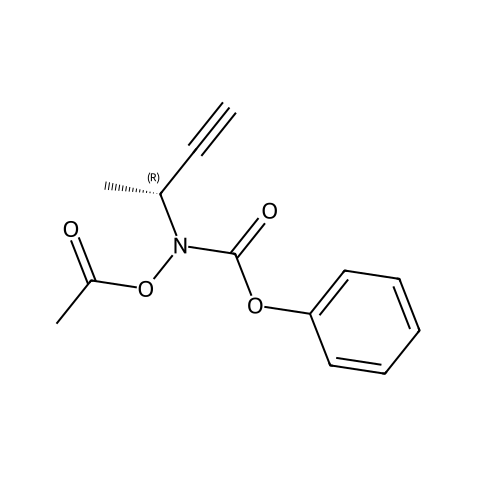 C#C[C@@H](C)N(OC(C)=O)C(=O)Oc1ccccc1